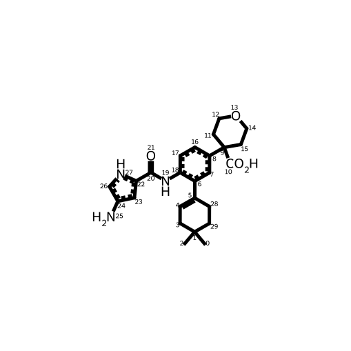 CC1(C)CC=C(c2cc(C3(C(=O)O)CCOCC3)ccc2NC(=O)c2cc(N)c[nH]2)CC1